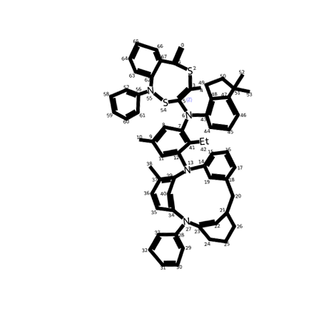 C=C1S/C(C)=C(/N(c2cc(C)cc(N3c4cccc(c4)CC4C=C(CCC4)N(c4ccccc4)c4ccc(C)c3c4)c2CC)c2cccc3c2CCC3(C)C)SN(c2ccccc2)c2ccccc21